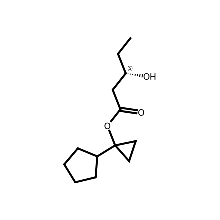 CC[C@H](O)CC(=O)OC1(C2CCCC2)CC1